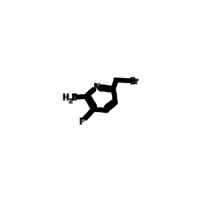 Bc1nc(CBr)ccc1F